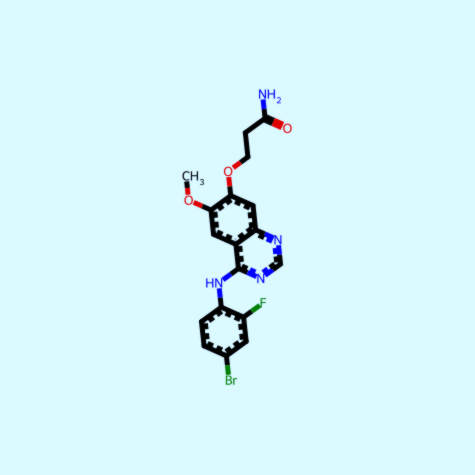 COc1cc2c(Nc3ccc(Br)cc3F)ncnc2cc1OCCC(N)=O